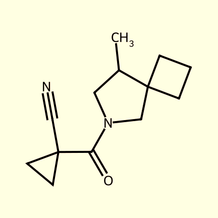 CC1CN(C(=O)C2(C#N)CC2)CC12CCC2